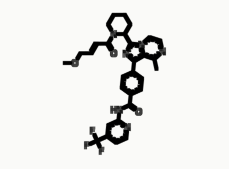 COCC=CC(=O)N1CCCCC1c1nc(-c2ccc(C(=O)Nc3cc(C(F)(F)F)ccn3)cc2)c2c(C)nccn12